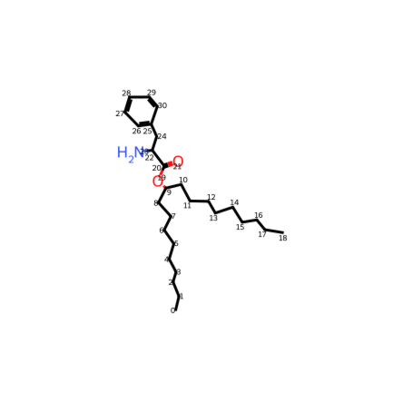 CCCCCCCCCC(CCCCCCCCC)OC(=O)C(N)Cc1ccccc1